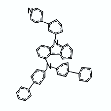 c1ccc(-c2ccc(N(c3ccc(-c4ccccc4)cc3)c3cccc4c3c3ccccc3n4-c3cccc(-c4ccncc4)c3)cc2)cc1